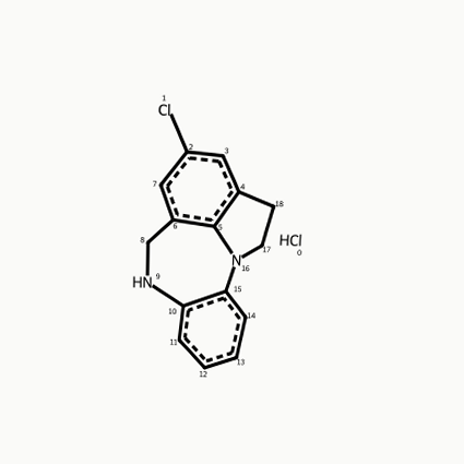 Cl.Clc1cc2c3c(c1)CNc1ccccc1N3CC2